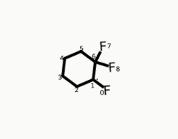 F[C]1CCCCC1(F)F